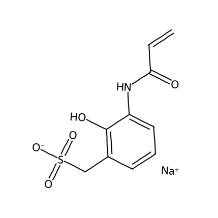 C=CC(=O)Nc1cccc(CS(=O)(=O)[O-])c1O.[Na+]